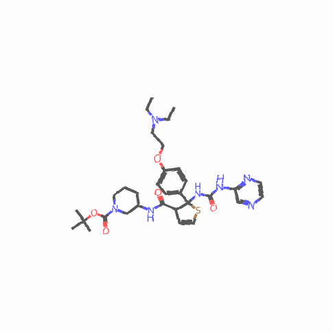 CCN(CC)CCOc1ccc(C2(NC(=O)Nc3cnccn3)SC=CC2C(=O)NC2CCCN(C(=O)OC(C)(C)C)C2)cc1